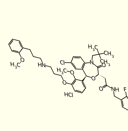 COc1ccccc1CCCNCCCOc1cccc([C@@H]2O[C@@H](CC(=O)NCc3ccccc3F)C(=O)N(CC(C)(C)C)c3ccc(Cl)cc32)c1OC.Cl